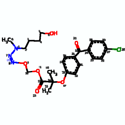 CN(CCCCO)/N=N\OCOC(=O)C(C)(C)Oc1ccc(C(=O)c2ccc(Cl)cc2)cc1